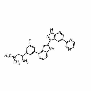 CN(C)CC(N)c1cc(F)cc(-c2cccc3[nH]c(-c4n[nH]c5ncc(-c6cnccn6)cc45)cc23)c1